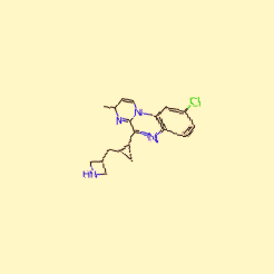 CC1C=CN2C(=N1)C(C1CC1CC1CNC1)=Nc1ccc(Cl)cc12